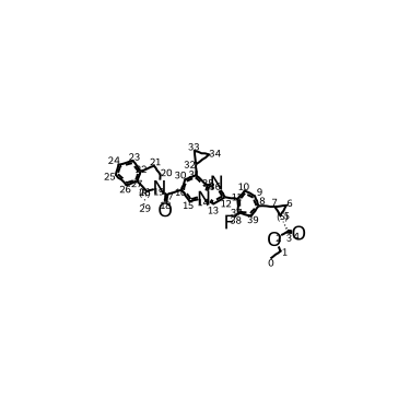 CCOC(=O)[C@H]1CC1c1ccc(-c2cn3cc(C(=O)N4CCc5ccccc5[C@H]4C)cc(C4CC4)c3n2)c(F)c1